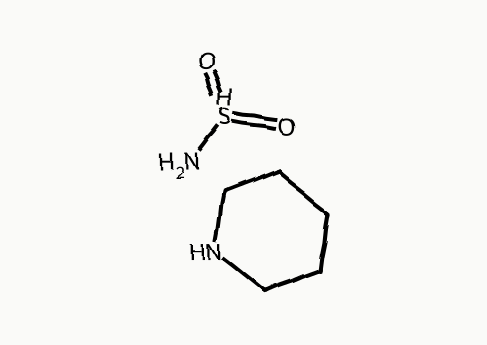 C1CCNCC1.N[SH](=O)=O